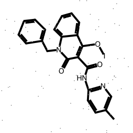 Cc1ccc(NC(=O)c2c(OI)c3ccccc3n(Cc3ccccc3)c2=O)nc1